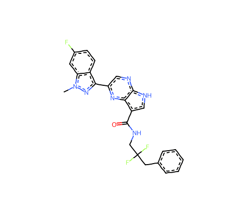 Cn1nc(-c2cnc3[nH]cc(C(=O)NCC(F)(F)Cc4ccccc4)c3n2)c2ccc(F)cc21